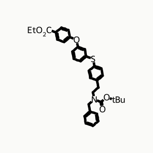 CCOC(=O)c1ccc(Oc2cccc(Sc3ccc(CCN(Cc4ccccc4)C(=O)OC(C)(C)C)cc3)c2)cc1